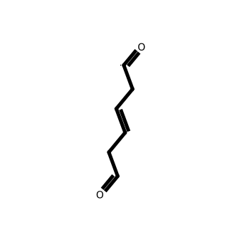 O=[C]CC=CCC=O